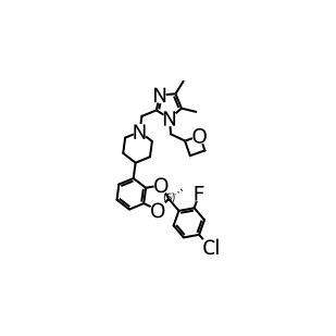 Cc1nc(CN2CCC(c3cccc4c3O[C@@](C)(c3ccc(Cl)cc3F)O4)CC2)n(CC2CCO2)c1C